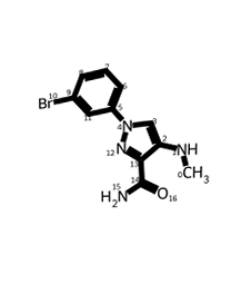 CNc1cn(-c2cccc(Br)c2)nc1C(N)=O